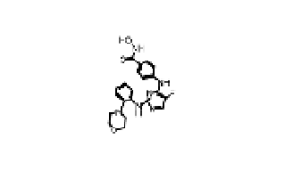 O=C(NO)c1ccc(Nc2nc(Nc3ccccc3N3CCOCC3)ncc2F)cc1